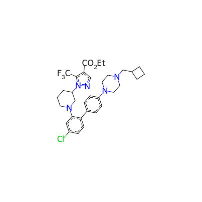 CCOC(=O)c1cnn(C2CCCN(c3cc(Cl)ccc3-c3ccc(N4CCN(CC5CCC5)CC4)cc3)C2)c1C(F)(F)F